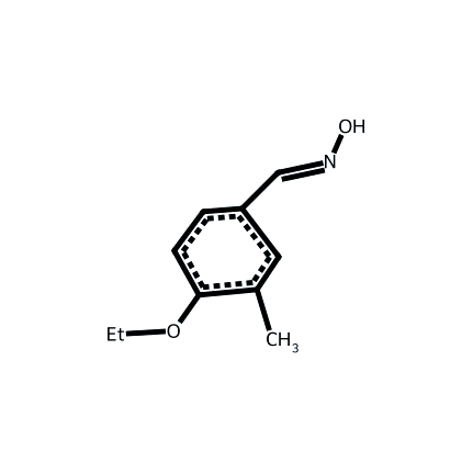 CCOc1ccc(C=NO)cc1C